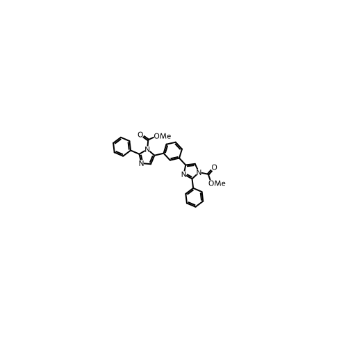 COC(=O)n1cc(-c2cccc(-c3cnc(-c4ccccc4)n3C(=O)OC)c2)nc1-c1ccccc1